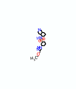 CCOCc1cn(-c2cccc(S(=O)(=O)Nc3cccc4cnccc34)c2)nn1